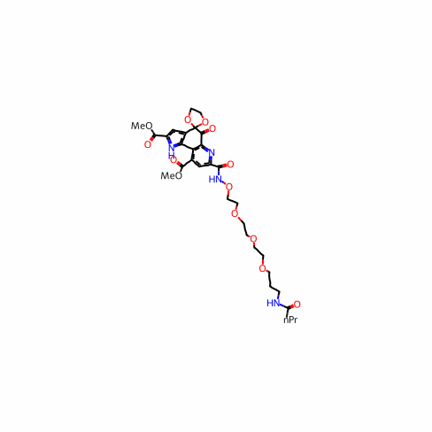 CCCC(=O)NCCCOCCOCCOCCONC(=O)c1cc(C(=O)OC)c2c(n1)C(=O)C1(OCCO1)c1cc(C(=O)OC)[nH]c1-2